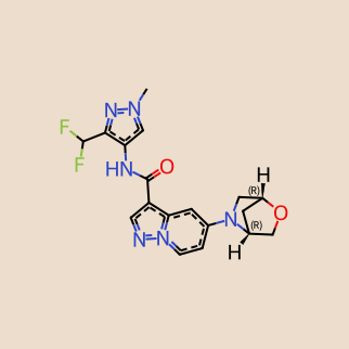 Cn1cc(NC(=O)c2cnn3ccc(N4C[C@H]5C[C@@H]4CO5)cc23)c(C(F)F)n1